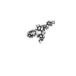 CC[C@@H]1CN(Cc2cc(C(c3ccc4c(nnn4CC)c3C)C(C)(C)C(=O)Nc3cnc(Cl)nc3)ccc2C)S(=O)(=O)c2cccnc2O1